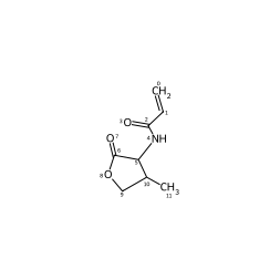 C=CC(=O)NC1C(=O)OCC1C